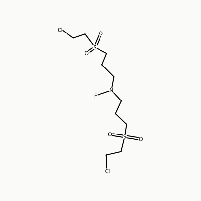 O=S(=O)(CCCl)CCCN(F)CCCS(=O)(=O)CCCl